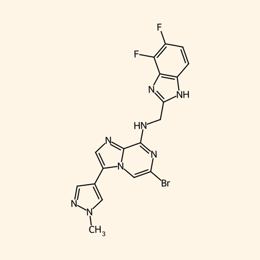 Cn1cc(-c2cnc3c(NCc4nc5c(F)c(F)ccc5[nH]4)nc(Br)cn23)cn1